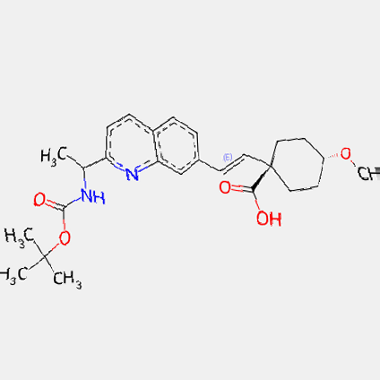 CO[C@H]1CC[C@](/C=C/c2ccc3ccc(C(C)NC(=O)OC(C)(C)C)nc3c2)(C(=O)O)CC1